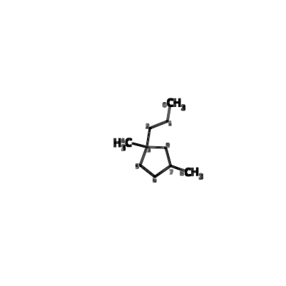 CCCC1(C)CCC(C)C1